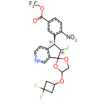 O=C(OC(F)(F)F)c1ccc([N+](=O)[O-])c([C@@H]2c3ccncc3C3(OCC(OC4CC(F)(F)C4)O3)[C@@H]2F)c1